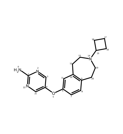 Nc1ncc(Oc2ccc3c(c2)CCN(C2CCC2)CC3)cn1